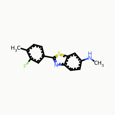 CNc1ccc2nc(-c3ccc(C)c(F)c3)sc2c1